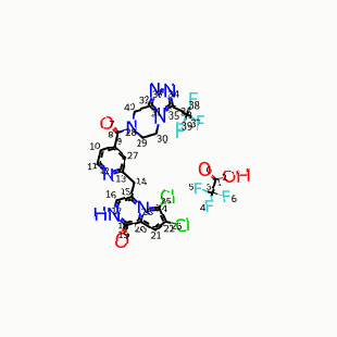 O=C(O)C(F)(F)F.O=C(c1ccnc(Cc2c[nH]c(=O)c3cc(Cl)c(Cl)n23)c1)N1CCn2c(nnc2C(F)(F)F)C1